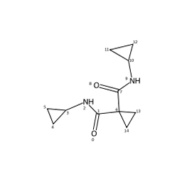 O=C(NC1CC1)C1(C(=O)NC2CC2)CC1